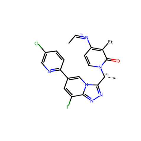 C/C=N\c1ccn([C@H](C)c2nnc3c(F)cc(-c4ccc(Cl)cn4)cn23)c(=O)c1CC